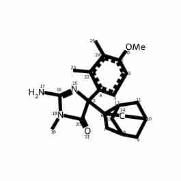 COc1ccc(C2(C34CC5CC(CC3C5)C4)N=C(N)N(C)C2=O)c(C)c1C